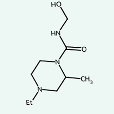 CCN1CCN(C(=O)NCO)C(C)C1